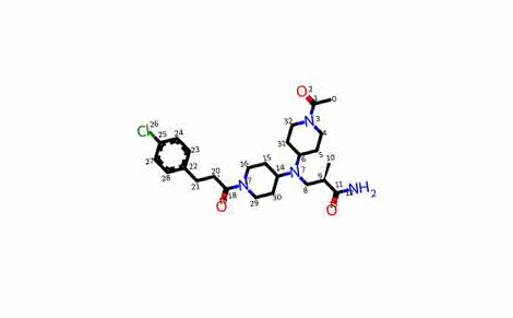 CC(=O)N1CCC(N(C[C@@H](C)C(N)=O)C2CCN(C(=O)[CH]Cc3ccc(Cl)cc3)CC2)CC1